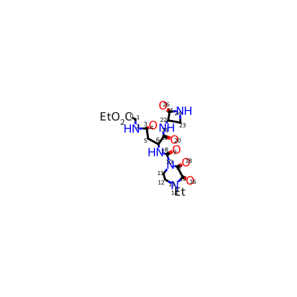 CCOC(=O)CNC(=O)CC(NC(=O)N1CCN(CC)C(=O)C1=O)C(=O)NC1CNC1=O